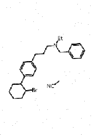 CC#N.CCN(CCCc1ccc(C2CCCCC2Br)cc1)Cc1ccccc1